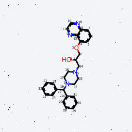 OC(COc1cccc2nccnc12)CN1CCN(C(c2ccccc2)c2ccccc2)CC1